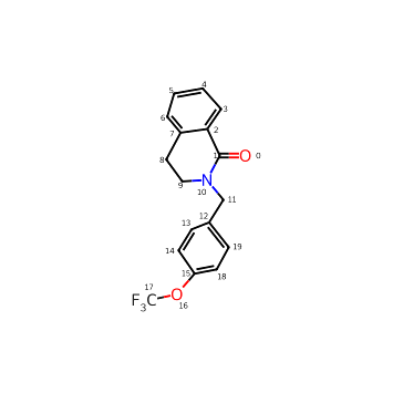 O=C1c2ccccc2CCN1Cc1ccc(OC(F)(F)F)cc1